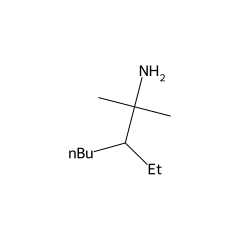 CCCCC(CC)C(C)(C)N